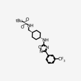 CC(C)(C)S(=O)(=O)NC[C@H]1CC[C@H](Nc2nc(-c3cccc(C(F)(F)F)c3)no2)CC1